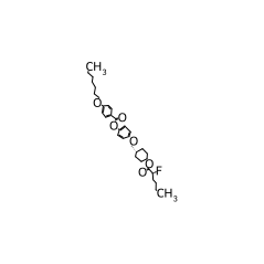 CCCCCCCOc1ccc(C(=O)Oc2ccc(OC[C@H]3CC[C@H](OC(=O)[C@@H](F)CCCC)CC3)cc2)cc1